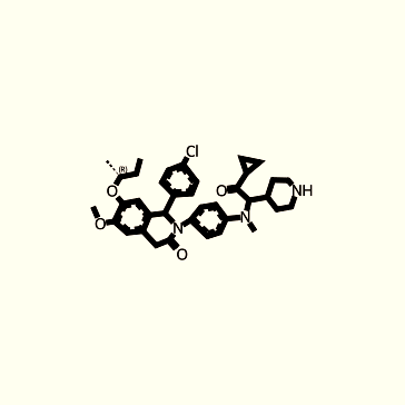 CC[C@@H](C)Oc1cc2c(cc1OC)CC(=O)N(c1ccc(N(C)C(C(=O)C3CC3)C3CCNCC3)cc1)C2c1ccc(Cl)cc1